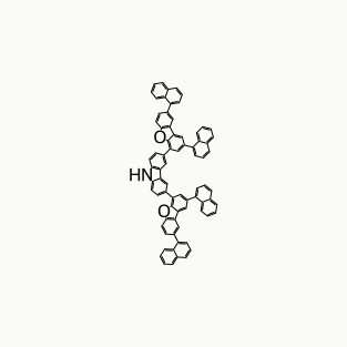 c1ccc2c(-c3ccc4oc5c(-c6ccc7[nH]c8ccc(-c9cc(-c%10cccc%11ccccc%10%11)cc%10c9oc9ccc(-c%11cccc%12ccccc%11%12)cc9%10)cc8c7c6)cc(-c6cccc7ccccc67)cc5c4c3)cccc2c1